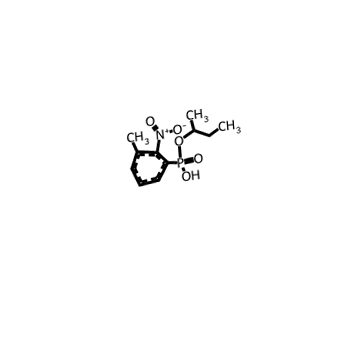 CCC(C)OP(=O)(O)c1cccc(C)c1[N+](=O)[O-]